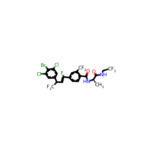 C[C@@H](NC(=O)c1ccc(/C(F)=C/C(c2cc(Cl)c(Br)c(Cl)c2)C(F)(F)F)cc1C(F)(F)F)C(=O)NCC(F)(F)F